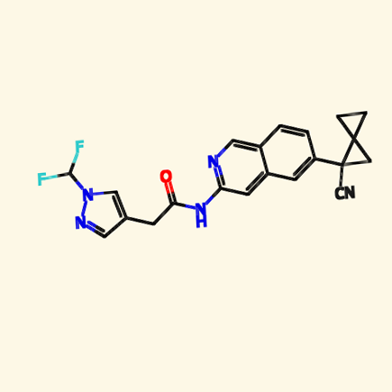 N#CC1(c2ccc3cnc(NC(=O)Cc4cnn(C(F)F)c4)cc3c2)CC12CC2